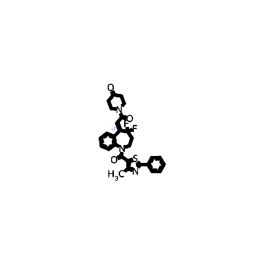 Cc1nc(-c2ccccc2)sc1C(=O)N1CCC(F)(F)/C(=C\C(=O)N2CCC(=O)CC2)c2ccccc21